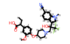 CCC(C(=O)O)c1ccc(OC2CCN(CC(O)(c3cn(C)c4cc(C#N)ccc34)C(F)(F)F)CC2)c(OC)c1